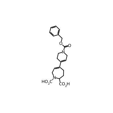 O=C(O)C1CCC(C2=CCN(C(=O)OCc3ccccc3)CC2)=CCN1C(=O)O